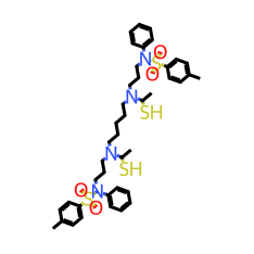 Cc1ccc(S(=O)(=O)N(CCCN(CCCCCN(CCCN(c2ccccc2)S(=O)(=O)c2ccc(C)cc2)C(C)S)C(C)S)c2ccccc2)cc1